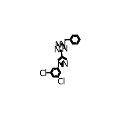 Clc1cc(Cl)cc(-n2cc(-c3nnn(Cc4ccccc4)n3)cn2)c1